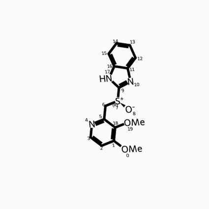 COc1ccnc(C[S@+]([O-])c2nc3ccccc3[nH]2)c1OC